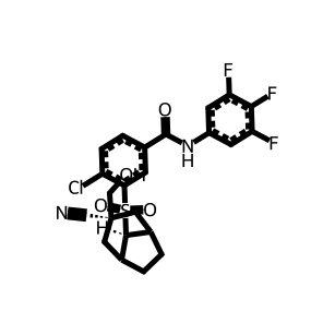 N#C[C@]1(CO)CC2CCC(C1)[C@H]2S(=O)(=O)c1cc(C(=O)Nc2cc(F)c(F)c(F)c2)ccc1Cl